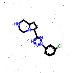 Clc1cccc(-n2nnc(C3CCC4CNCCN43)n2)c1